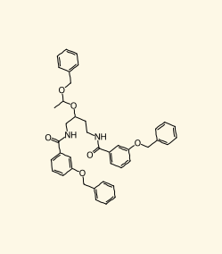 CC(OCc1ccccc1)OC(CCNC(=O)c1cccc(OCc2ccccc2)c1)CNC(=O)c1cccc(OCc2ccccc2)c1